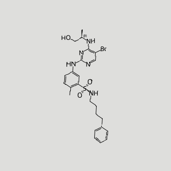 Cc1ccc(Nc2ncc(Br)c(N[C@H](C)CO)n2)cc1S(=O)(=O)NCCCCc1ccccc1